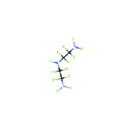 FN(F)C(F)(F)C(F)(F)N(F)C(F)(F)C(F)(F)N(F)F